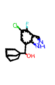 OC(c1cc(Cl)c(F)c2cn[nH]c12)C12CCC(CC1)CC2